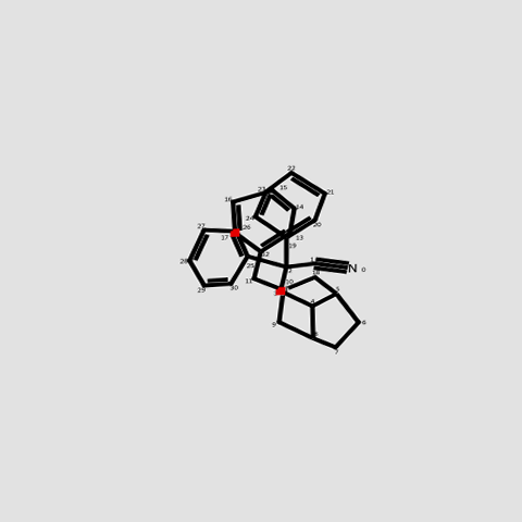 N#CC(CC1C2CCC1CN(Cc1ccccc1)C2)(c1ccccc1)c1ccccc1